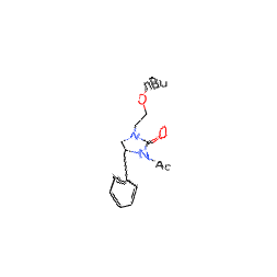 CCCCOCCN1CC(c2ccccc2)N(C(C)=O)C1=O